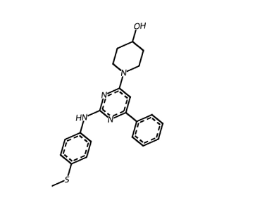 CSc1ccc(Nc2nc(-c3ccccc3)cc(N3CCC(O)CC3)n2)cc1